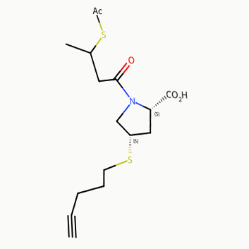 C#CCCCS[C@H]1C[C@@H](C(=O)O)N(C(=O)CC(C)SC(C)=O)C1